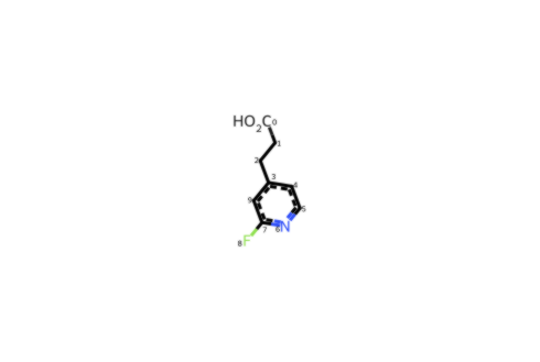 O=C(O)CCc1ccnc(F)c1